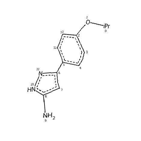 CC(C)Oc1ccc(-c2cc(N)[nH]n2)cc1